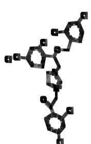 O=C(C[n+]1ccn(CC(OCc2ccc(Cl)cc2Cl)c2ccc(Cl)cc2Cl)c1)c1ccc(Cl)cc1Cl.[Cl-]